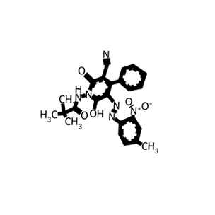 Cc1ccc(N=Nc2c(-c3ccccc3)c(C#N)c(=O)n(NC(=O)C(C)(C)C)c2O)c([N+](=O)[O-])c1